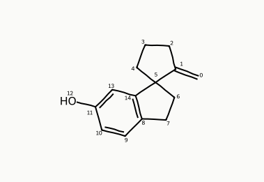 C=C1CCCC12CCc1ccc(O)cc12